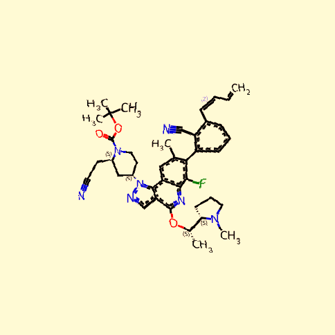 C=C/C=C\c1cccc(-c2c(C)cc3c(nc(O[C@@H](C)[C@@H]4CCCN4C)c4cnn([C@H]5CCN(C(=O)OC(C)(C)C)[C@H](CC#N)C5)c43)c2F)c1C#N